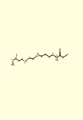 CCOC(C)CCOCCOCCCCNC(=O)CI